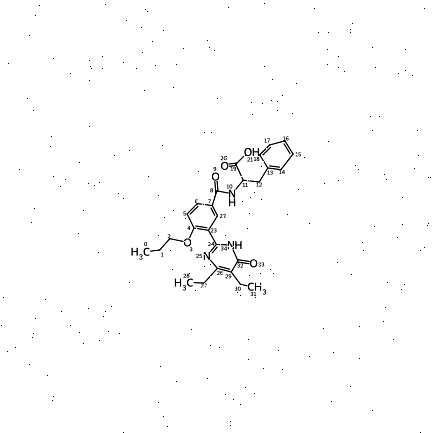 CCCOc1ccc(C(=O)NC(Cc2ccccc2)C(=O)O)cc1-c1nc(CC)c(CC)c(=O)[nH]1